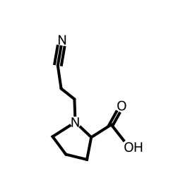 N#CCCN1CCCC1C(=O)O